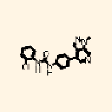 Cn1ncc2c(-c3ccc(NC(=O)Nc4ccccc4Cl)cc3)cncc21